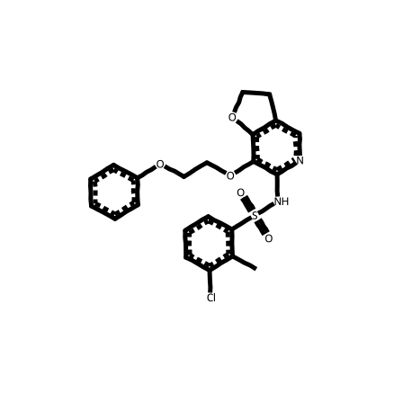 Cc1c(Cl)cccc1S(=O)(=O)Nc1ncc2c(c1OCCOc1ccccc1)OCC2